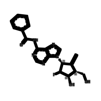 C=C1[C@@H](n2cnc3c(NC(=O)c4ccccc4)ncnc32)C(F)[C@H](O)[C@H]1CO